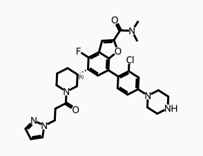 CN(C)C(=O)c1cc2c(F)c([C@H]3CCCN(C(=O)CCn4cccn4)C3)cc(-c3ccc(N4CCNCC4)cc3Cl)c2o1